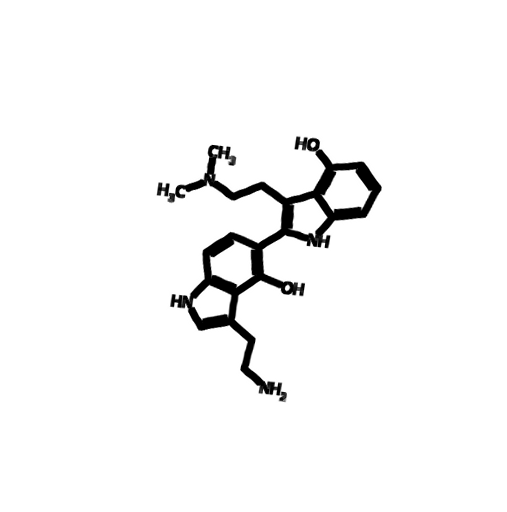 CN(C)CCc1c(-c2ccc3[nH]cc(CCN)c3c2O)[nH]c2cccc(O)c12